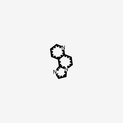 c1cnc2ccn3ccnc3c2c1